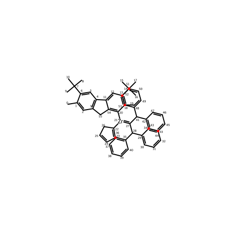 Cc1cc2c(cc1C(C)(C)C)-c1cc(C(C)(C)C)c(C)[c]([Zr]([C]3=CC=CC3)=[C](C(c3ccccc3)c3ccccc3)C(c3ccccc3)c3ccccc3)c1C2